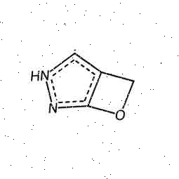 [c]1[nH]nc2c1CO2